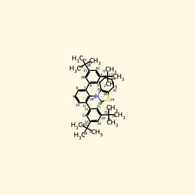 CC(C)(C)c1cc(-c2cccc(-c3cc(C(C)(C)C)cc(C(C)(C)C)c3)c2N2[C]SC3=C2CCCC3)cc(C(C)(C)C)c1